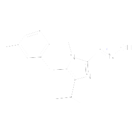 CC(C)c1nc(/C=N/O)n(C)c1Sc1cccc(F)c1